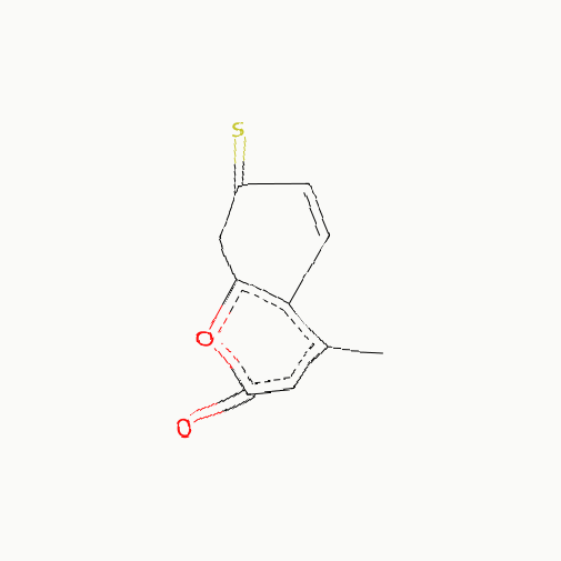 Cc1cc(=O)oc2c1C=CC(=S)C2